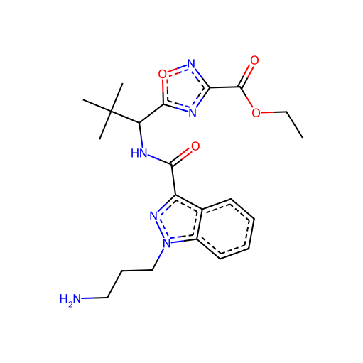 CCOC(=O)c1noc(C(NC(=O)c2nn(CCCN)c3ccccc23)C(C)(C)C)n1